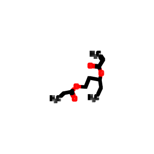 C=CC(=O)OC(CC)CCOC(=O)CC